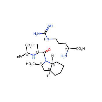 CCC[C@H](N[C@@H](C)C(=O)N1[C@H](C(=O)O)C[C@@H]2CCCC[C@@H]21)C(=O)OCC.N=C(N)NCCC[C@H](N)C(=O)O